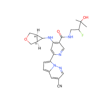 CC(C)(O)C(F)CNC(=O)c1cnc(-c2ccc3cc(C#N)cnn23)cc1NC1[C@H]2COC[C@@H]12